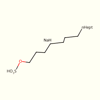 CCCCCCCCCCCCCCOS(=O)(=O)O.[NaH]